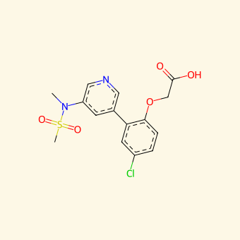 CN(c1cncc(-c2cc(Cl)ccc2OCC(=O)O)c1)S(C)(=O)=O